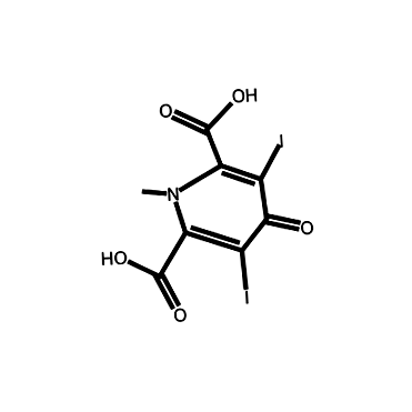 Cn1c(C(=O)O)c(I)c(=O)c(I)c1C(=O)O